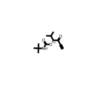 C#CC(=O)[C@H](OC(=O)NC(C)(C)C)C(C)C